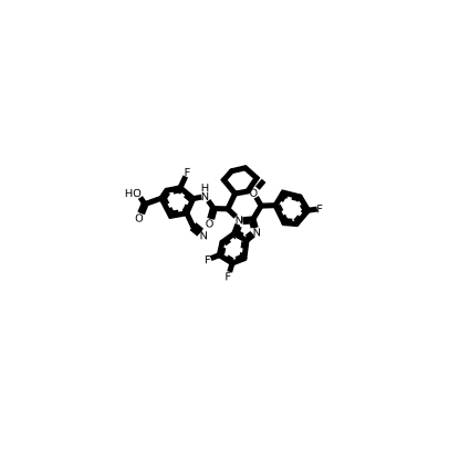 COC(c1ccc(F)cc1)c1nc2cc(F)c(F)cc2n1C(C(=O)Nc1c(F)cc(C(=O)O)cc1C#N)C1CCCCC1